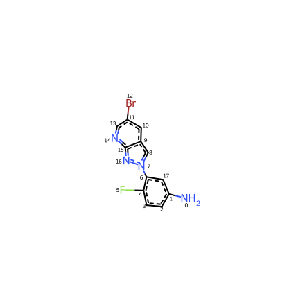 Nc1ccc(F)c(-n2cc3cc(Br)cnc3n2)c1